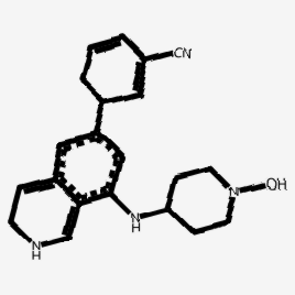 N#CC1=CC(c2cc(NC3CCN(O)CC3)c3c(c2)=CCNC=3)CC=C1